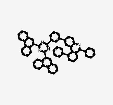 c1ccc(-c2nc3ccc(-c4cccc(-c5nc(-c6cc7ccccc7c7ccccc67)nc(-c6cc7ccccc7c7ccccc67)n5)c4)cc3c3c(-c4ccccc4)cccc23)cc1